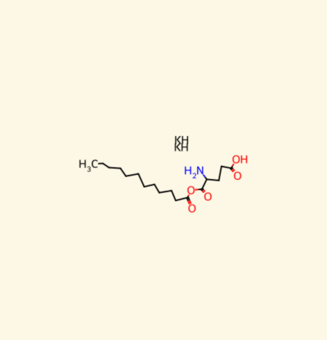 CCCCCCCCCCCC(=O)OC(=O)C(N)CCC(=O)O.[KH].[KH]